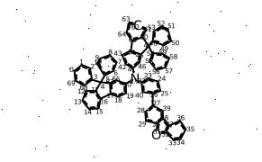 c1ccc(C2(c3ccccc3)c3ccccc3-c3ccc(N(c4cccc(-c5ccc6oc7ccccc7c6c5)c4)c4ccc5c(c4)C(c4ccccc4)(c4ccccc4)c4ccccc4-5)cc32)cc1